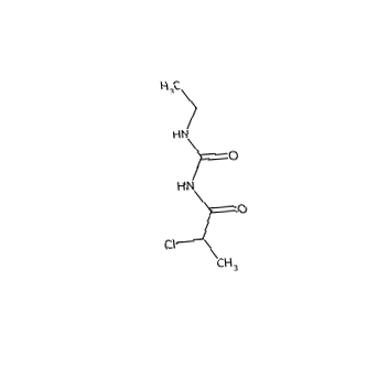 CCNC(=O)NC(=O)C(C)Cl